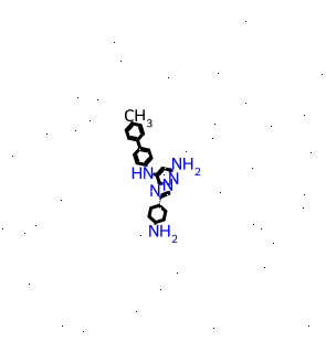 Cc1ccc(-c2ccc(Nc3cc(N)nn4cc([C@H]5CC[C@H](N)CC5)nc34)cc2)cc1